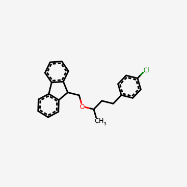 CC(CCc1ccc(Cl)cc1)OCC1c2ccccc2-c2ccccc21